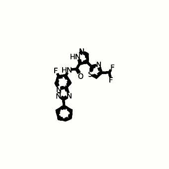 O=C(Nc1cc2nc(-c3ccccc3)nn2cc1F)c1[nH]ncc1-c1nc(C(F)F)cs1